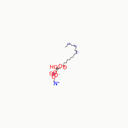 CC/C=C\C/C=C\C/C=C\CCCCCCCC(=O)OC[C@@H](O)COP(=O)([O-])OCC[N+](C)(C)C